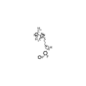 Cc1cnoc1-c1nnc(SCCCN2C[C@H]3C[C@@]3(c3ccc(Cn4cccc4)c(F)c3)C2)n1C